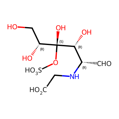 O=C[C@H](NCC(=O)O)[C@@H](O)[C@](O)(OS(=O)(=O)O)[C@H](O)CO